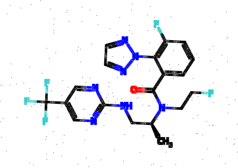 C[C@@H](CNc1ncc(C(F)(F)F)cn1)N(CCF)C(=O)c1cccc(F)c1-n1nccn1